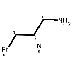 CCCCCN.[N]